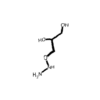 NNOCC(O)CO